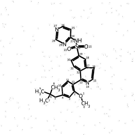 COc1cc(CC(C)(C)C)ccc1-c1nccc2cc(S(=O)(=O)Nc3ccncn3)ccc12